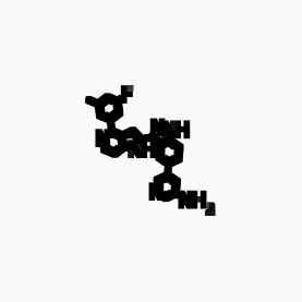 Cc1cc(F)cc(-c2nccc3[nH]c(-c4n[nH]c5ccc(-c6cncc(N)c6)cc45)cc23)c1